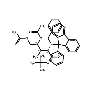 CC(=O)OC[C@@H](OC(C)=O)[C@H](C)[C@@H](C(=O)OC(C)(C)C)N(Cc1ccccc1)C1(c2ccccc2)c2ccccc2-c2ccccc21